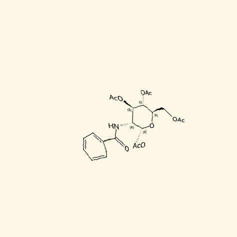 CC(=O)OC[C@H]1O[C@H](OC(C)=O)[C@H](NC(=O)c2ccccc2)[C@@H](OC(C)=O)[C@@H]1OC(C)=O